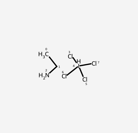 CCN.Cl[IH](Cl)(Cl)Cl